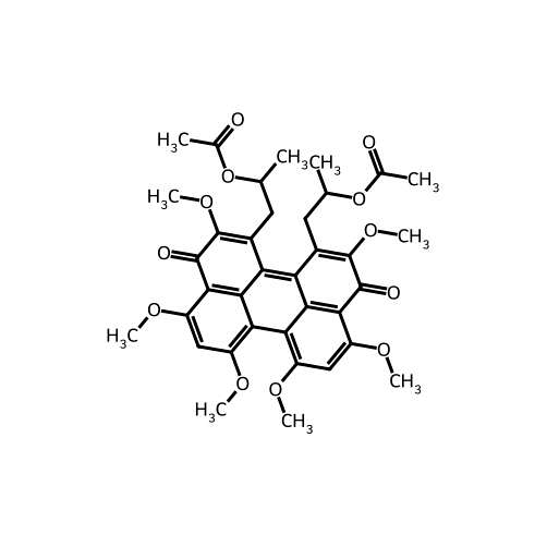 COc1c(CC(C)OC(C)=O)c2c3c(CC(C)OC(C)=O)c(OC)c(=O)c4c(OC)cc(OC)c(c5c(OC)cc(OC)c(c1=O)c52)c43